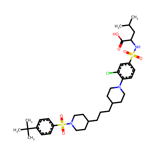 CC(C)CC(NS(=O)(=O)c1ccc(N2CCC(CCCC3CCN(S(=O)(=O)c4ccc(C(C)(C)C)cc4)CC3)CC2)c(Cl)c1)C(=O)O